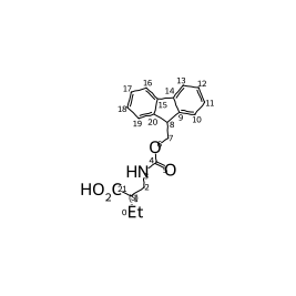 CC[C@@H](CNC(=O)OCC1c2ccccc2-c2ccccc21)C(=O)O